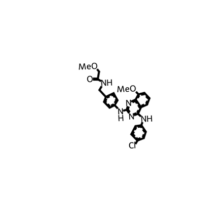 COCC(=O)NCc1ccc(Nc2nc(Nc3ccc(Cl)cc3)c3cccc(OC)c3n2)cc1